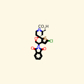 C[C@H]1C[C@@]2(CCN1C(=O)O)OCC(N1C(=O)c3ccccc3C1=O)c1cc(Cl)sc12